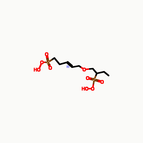 CCC(COC/C=C/CCS(=O)(=O)OO)S(=O)(=O)OO